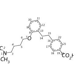 CN(C)CCCCOc1ccccc1CCc1ccc(C(=O)O)cc1